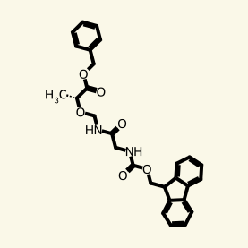 C[C@@H](OCNC(=O)CNC(=O)OCC1c2ccccc2-c2ccccc21)C(=O)OCc1ccccc1